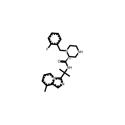 Cc1cccn2c(C(C)(C)NC(=O)[C@@H]3CNCCN3Cc3ccccc3F)ncc12